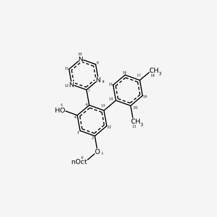 CCCCCCCCOc1cc(O)c(-c2ncncn2)c(-c2ccc(C)cc2C)c1